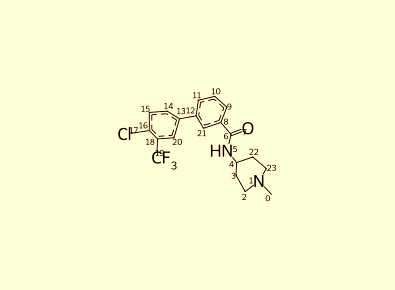 CN1CCC(NC(=O)c2cccc(-c3ccc(Cl)c(C(F)(F)F)c3)c2)CC1